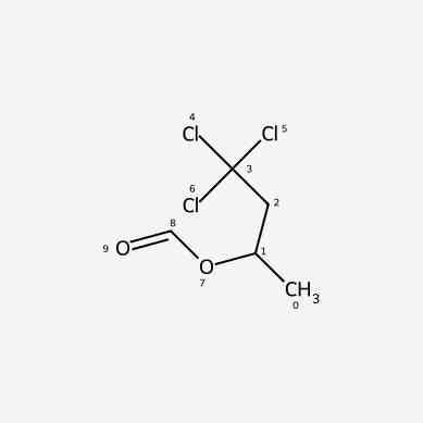 CC(CC(Cl)(Cl)Cl)OC=O